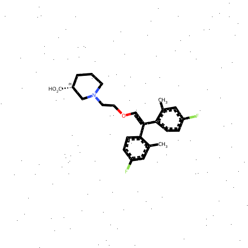 Cc1cc(F)ccc1C(=COCCN1CCC[C@@H](C(=O)O)C1)c1ccc(F)cc1C